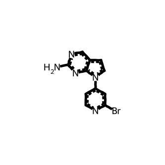 Nc1ncc2ccn(-c3ccnc(Br)c3)c2n1